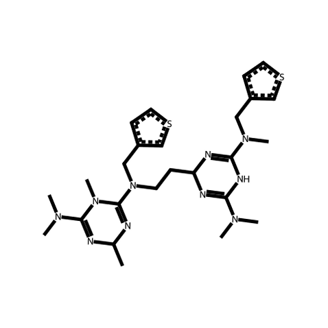 CC1N=C(N(C)C)N(C)C(N(CCC2N=C(N(C)C)NC(N(C)Cc3ccsc3)=N2)Cc2ccsc2)=N1